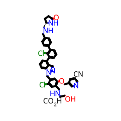 N#Cc1cncc(COc2cc(Cn3ncc4c(-c5cccc(-c6ccc(CNC[C@@H]7CCC(=O)N7)cc6)c5Cl)cccc43)c(Cl)cc2CNC(CO)C(=O)O)c1